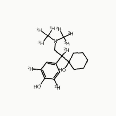 [2H]c1cc(C([2H])(CN(C([2H])([2H])[2H])C([2H])([2H])[2H])C2(O)CCCCC2)cc([2H])c1O